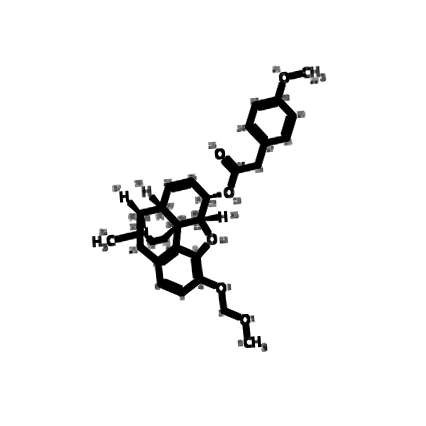 COCOc1ccc2c3c1O[C@H]1[C@@H](OC(=O)Cc4ccc(OC)cc4)C=C[C@H]4[C@@H](C2)N(C)CC[C@@]341